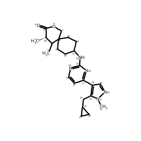 CC1[C@H](C)C(=O)OCC12CCC(Nc1nccc(-c3cnn(C)c3CC3CC3)n1)CC2